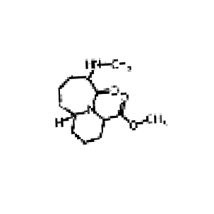 CNC1CCS[C@H]2CCCC(C(=O)OC)N2C1=O